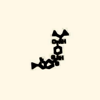 Cn1c(C2CC2)cc2ccc(S(=O)(=O)N[C@H]3CC[C@H](C(=O)NC(C4CC4)C4CC4)CC3)cc21